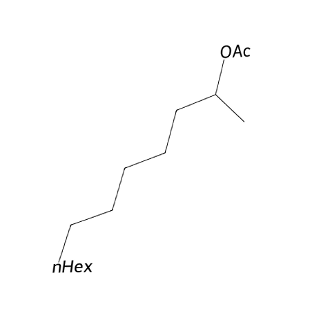 CCCCCCCCCCCC(C)OC(C)=O